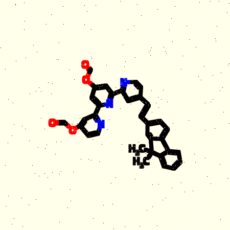 CC1(C)c2ccccc2-c2ccc(/C=C/c3ccnc(-c4cc(OC=O)cc(-c5cc(OC=O)ccn5)n4)c3)cc21